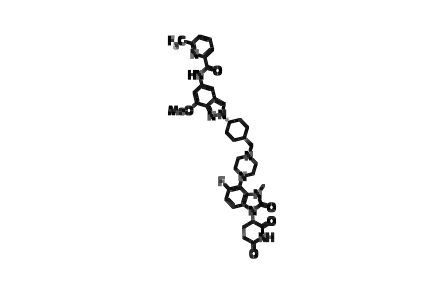 COc1cc(NC(=O)c2cccc(C(F)(F)F)n2)cc2cn([C@H]3CC[C@H](CN4CCN(c5c(F)ccc6c5n(C)c(=O)n6C5CCC(=O)NC5=O)CC4)CC3)nc12